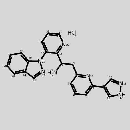 Cl.NC(Cc1cccc(-c2cn[nH]c2)n1)c1ncccc1-n1ncc2ccccc21